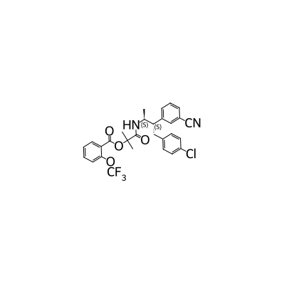 C[C@H](NC(=O)C(C)(C)OC(=O)c1ccccc1OC(F)(F)F)[C@@H](Cc1ccc(Cl)cc1)c1cccc(C#N)c1